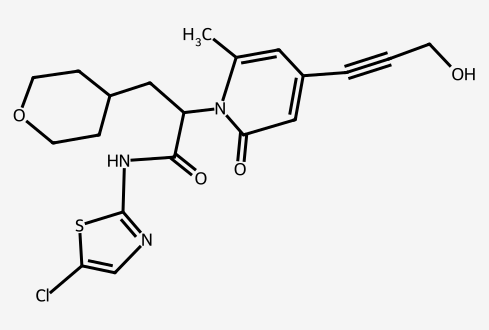 Cc1cc(C#CCO)cc(=O)n1C(CC1CCOCC1)C(=O)Nc1ncc(Cl)s1